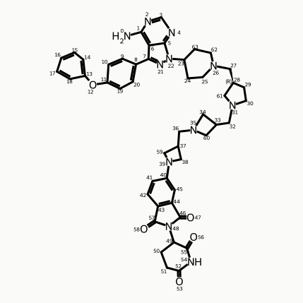 Nc1ncnc2c1c(-c1ccc(Oc3ccccc3)cc1)nn2C1CCN(C[C@H]2CCN(CC3CN(CC4CN(c5ccc6c(c5)C(=O)N(C5CCC(=O)NC5=O)C6=O)C4)C3)C2)CC1